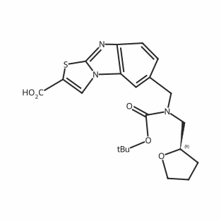 CC(C)(C)OC(=O)N(Cc1ccc2nc3sc(C(=O)O)cn3c2c1)C[C@H]1CCCO1